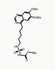 COc1cc2ncnc(CCCCCNS(=O)(=O)NC(=O)OC(C)(C)C)c2cc1OC